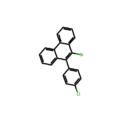 Clc1ccc(-c2c(Br)c3ccccc3c3ccccc23)cc1